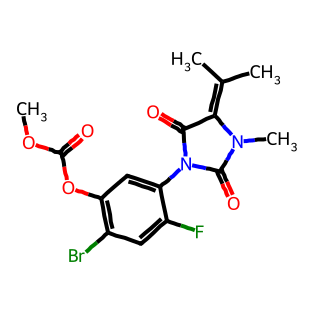 COC(=O)Oc1cc(N2C(=O)C(=C(C)C)N(C)C2=O)c(F)cc1Br